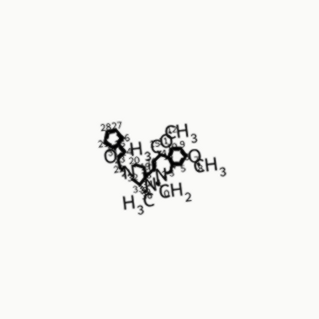 C=C1N2Cc3cc(OC)cc(OC)c3[C@@H](C)C=C2C2(CCN(Cc3cc4ccccc4o3)CC2)N1CC